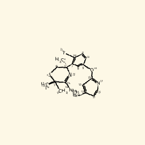 CC1(C)SC[C@@](C)(c2cc(Oc3cc(Br)ccn3)ccc2F)N=C1N